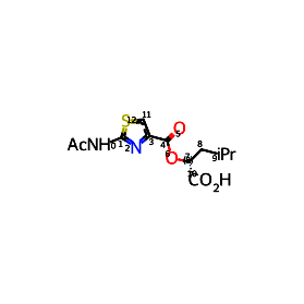 CC(=O)Nc1nc(C(=O)O[C@H](CC(C)C)C(=O)O)cs1